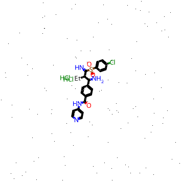 CCC(C(=N)S(=O)(=O)c1ccc(Cl)cc1)C(N)c1ccc(C(=O)Nc2ccncc2)cc1.Cl.Cl